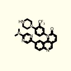 CN(C)c1cnc(-c2ccc3ncc4ccc(=O)n(-c5ccc(N6CCNCC6)c(C(F)(F)F)c5)c4c3c2)cn1